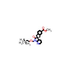 COC(=O)c1ccc2c(c1)C[C@]1(C2)C(=O)N(COCC[Si](C)(C)C)c2ncccc21